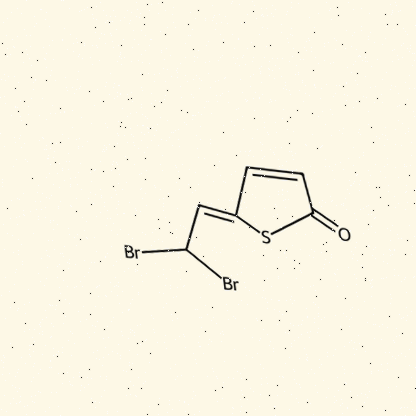 O=C1C=C/C(=C/C(Br)Br)S1